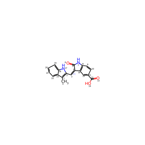 Cc1c(/C=C2\C(=O)Nc3ccc(C(=O)O)cc32)[nH]c2ccccc12